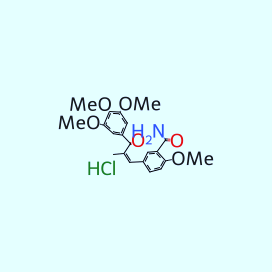 COc1ccc(C=C(C)C(=O)c2cc(OC)c(OC)c(OC)c2)cc1C(N)=O.Cl